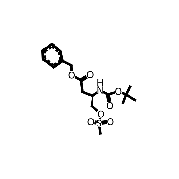 CC(C)(C)OC(=O)N[C@@H](COS(C)(=O)=O)CC(=O)OCc1ccccc1